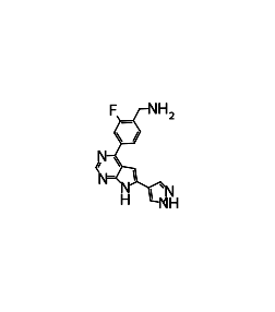 NCc1ccc(-c2ncnc3[nH]c(-c4cn[nH]c4)cc23)cc1F